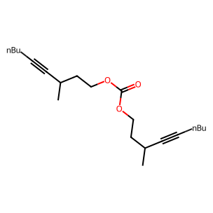 CCCCC#CC(C)CCOC(=O)OCCC(C)C#CCCCC